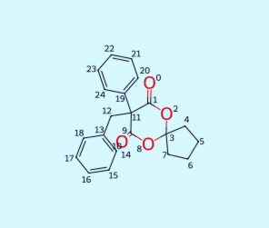 O=C1OC2(CCCC2)OC(=O)C1(Cc1ccccc1)c1ccccc1